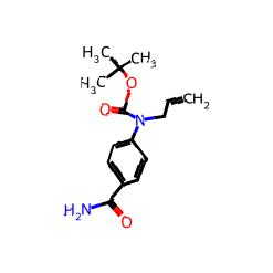 C=CCN(C(=O)OC(C)(C)C)c1ccc(C(N)=O)cc1